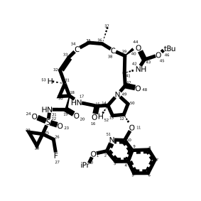 CC(C)Oc1cc2ccccc2c(O[C@@H]2C[C@H]3C(=O)N[C@]4(C(=O)NS(=O)(=O)C5(CF)CC5)C[C@H]4/C=C\CC[C@H](C)C[C@@H](C)[C@H](NC(=O)OC(C)(C)C)C(=O)N3C2)n1